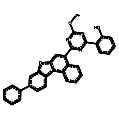 CC(C)Oc1nc(-c2ccccc2O)nc(-c2cc3oc4cc(-c5ccccc5)ccc4c3c3ccccc23)n1